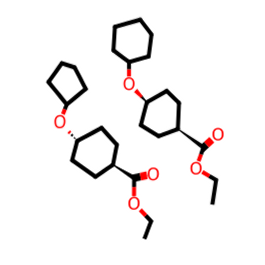 CCOC(=O)[C@H]1CC[C@@H](OC2CCCCC2)CC1.CCOC(=O)[C@H]1CC[C@H](OC2CCCC2)CC1